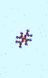 c1cncc(-c2ccc3c(c2)c2cc(-c4cccnc4)ccc2n3-c2ccc3oc4c(-c5cc(-n6c7ccc(-c8cccnc8)cc7c7cc(-c8cccnc8)ccc76)cc6c5oc5ccc(-n7c8ccc(-c9cccnc9)cc8c8cc(-c9cccnc9)ccc87)cc56)cc(-n5c6ccc(-c7cccnc7)cc6c6cc(-c7cccnc7)ccc65)cc4c3c2)c1